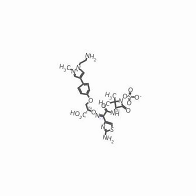 C[n+]1cc(-c2ccc(OC[C@H](O/N=C(\C(=O)N[C@@H]3C(=O)N(OS(=O)(=O)[O-])C3(C)C)c3csc(N)n3)C(=O)O)cc2)cn1CCN